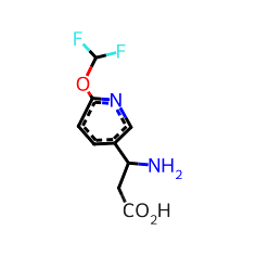 NC(CC(=O)O)c1ccc(OC(F)F)nc1